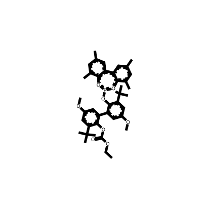 CCOC(=O)Oc1c(-c2cc(OC)cc(C(C)(C)C)c2Op2oc3c(C)cc(C)cc3c3cc(C)cc(C)c3o2)cc(OC)cc1C(C)(C)C